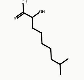 CC(C)CCCCCC(O)C(O)=S